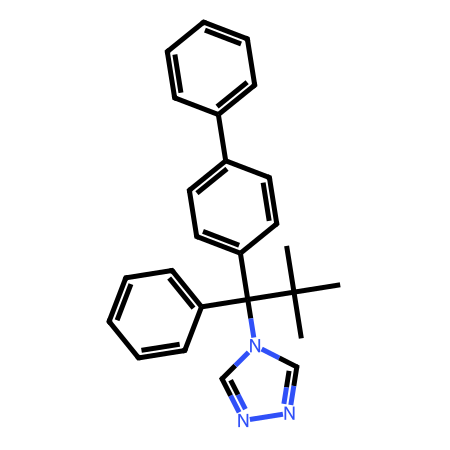 CC(C)(C)C(c1ccccc1)(c1ccc(-c2ccccc2)cc1)n1cnnc1